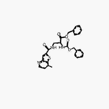 Cc1ccnc2cc(C(=O)NCC(NC(=O)OCc3ccccc3)C(=O)OCc3ccccc3)sc12